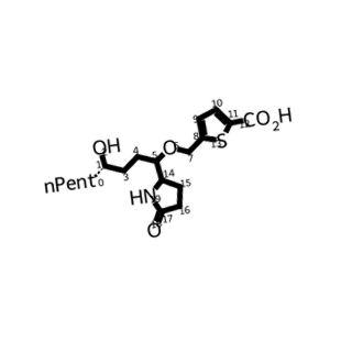 CCCCC[C@H](O)CCC(OCc1ccc(C(=O)O)s1)C1CCC(=O)N1